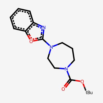 CC(C)(C)OC(=O)N1CCCN(c2nc3ccccc3o2)CC1